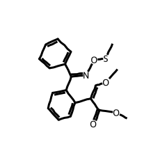 COC=C(C(=O)OC)c1ccccc1C(=NOSC)c1ccccc1